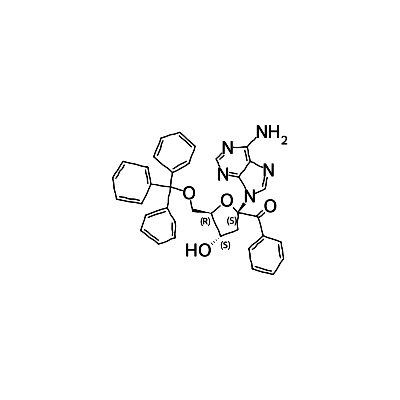 Nc1ncnc2c1ncn2[C@@]1(C(=O)c2ccccc2)C[C@H](O)[C@@H](COC(c2ccccc2)(c2ccccc2)c2ccccc2)O1